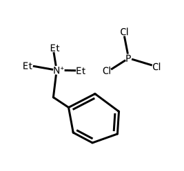 CC[N+](CC)(CC)Cc1ccccc1.ClP(Cl)Cl